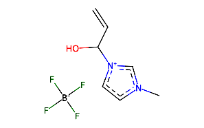 C=CC(O)[n+]1ccn(C)c1.F[B-](F)(F)F